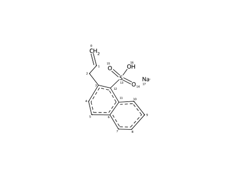 C=CCc1ccc2ccccc2c1S(=O)(=O)O.[Na]